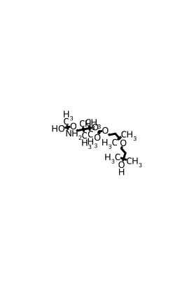 CC(C)(O)CCOC(C)(C)CCOC(=O)OC(C)(C)C(C)(C)COC(C)(N)O